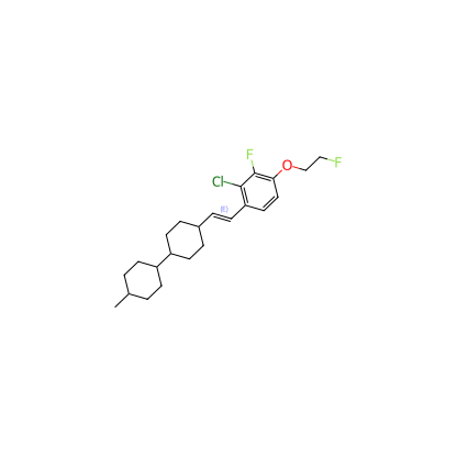 CC1CCC(C2CCC(/C=C/c3ccc(OCCF)c(F)c3Cl)CC2)CC1